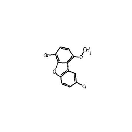 COc1ccc(Br)c2oc3ccc(Cl)cc3c12